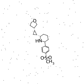 CS(=O)(=O)c1ccc(C2CCCC([C@@H]3C[C@@H]3C3CCOC3)N2)cc1